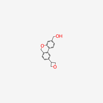 OCc1ccc2c(c1)OCc1ccc(C3COC3)cc1-2